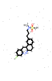 CCCS(=O)(=O)N(C)CCCc1ccc2c(c1)C(Cc1ccc(F)cc1)C(N)CC2